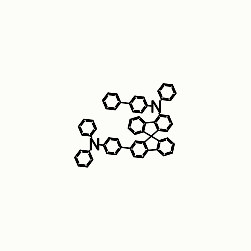 c1ccc(-c2ccc(N(c3ccccc3)c3cccc4c3-c3ccccc3C43c4ccccc4-c4ccc(-c5ccc(N(c6ccccc6)c6ccccc6)cc5)cc43)cc2)cc1